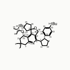 CC1(C)Cc2nc(C3CCCC3)c3c(c2[C@@H](O[Si](C)(C)C(C)(C)C)C1)C1(CCCC1)O[C@@H]3c1cccc(C(C)(C)C)c1